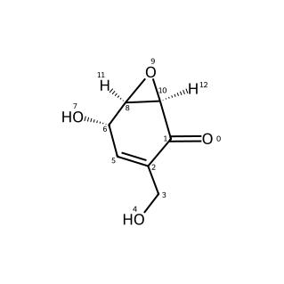 O=C1C(CO)=C[C@H](O)[C@H]2O[C@@H]12